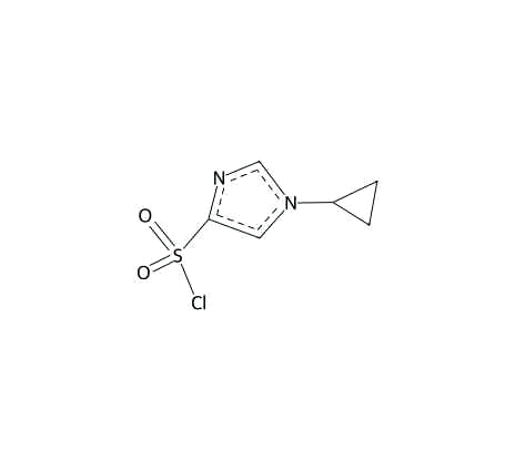 O=S(=O)(Cl)c1cn(C2CC2)cn1